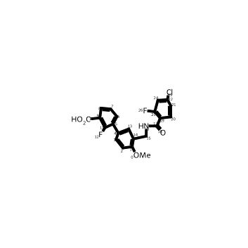 COc1ccc(-c2cccc(C(=O)O)c2F)cc1CNC(=O)c1ccc(Cl)cc1F